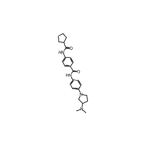 CN(C)C1CCN(c2ccc(NC(=O)c3ccc(NC(=O)C4CCCC4)cc3)cc2)C1